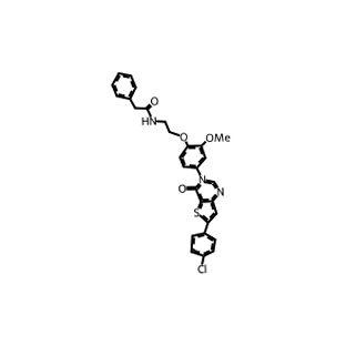 COc1cc(-n2cnc3cc(-c4ccc(Cl)cc4)sc3c2=O)ccc1OCCNC(=O)Cc1ccccc1